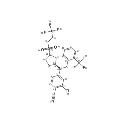 N#Cc1ccc(N(Cc2ccccc2C(F)(F)F)[C@H]2CCN(S(=O)(=O)CCC(F)(F)F)C2)cc1Cl